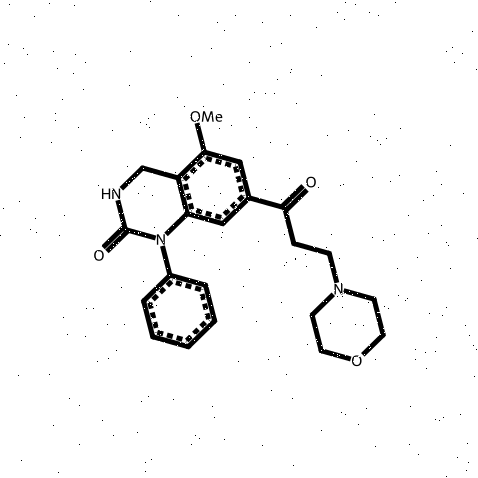 COc1cc(C(=O)CCN2CCOCC2)cc2c1CNC(=O)N2c1ccccc1